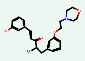 CC(Cc1cccc(OCCN2CCOCC2)c1)C(=O)/C=C/c1cccc(O)c1